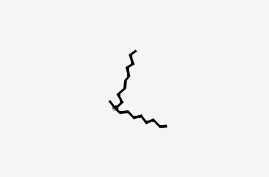 CCCCCCC[CH]C(C)(O)CCCCCCCCC